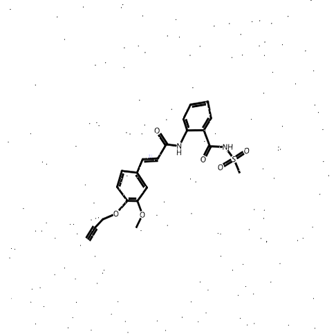 C#CCOc1ccc(/C=C/C(=O)Nc2ccccc2C(=O)NS(C)(=O)=O)cc1OC